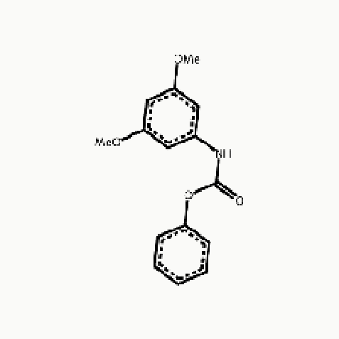 COc1cc(NC(=O)Oc2ccccc2)cc(OC)c1